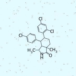 CC1NC(=O)C2(C)CCC(c3ccc(Cl)cc3Cl)C(c3ccc(Cl)cc3)C12